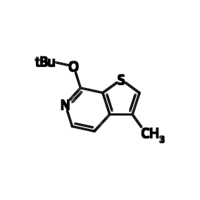 Cc1csc2c(OC(C)(C)C)nccc12